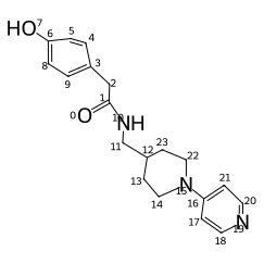 O=C(Cc1ccc(O)cc1)NCC1CCN(c2ccncc2)CC1